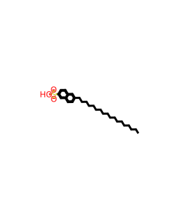 CCCCCCCCCCCCCCCCCCc1ccc2cc(S(=O)(=O)O)ccc2c1